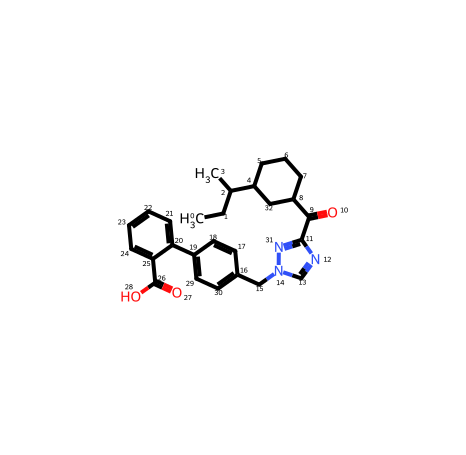 CCC(C)C1CCCC(C(=O)c2ncn(Cc3ccc(-c4ccccc4C(=O)O)cc3)n2)C1